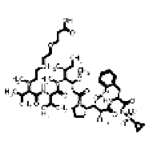 CC[C@H](C)[C@@H]([C@@H](CC(=O)N1CCC[C@H]1[C@H](OC)[C@@H](C)C(=O)N[C@@H](Cc1ccccc1)C(=O)NS(=O)(=O)C1CC1)OC)N(C)C(=O)[C@@H](NC(=O)C(C(C)C)N(C)CCOCCOCCC(=O)O)C(C)C